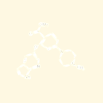 COC(=O)c1ccc(N2CCN(C)CC2)cc1Oc1cnc2[nH]ccc2c1